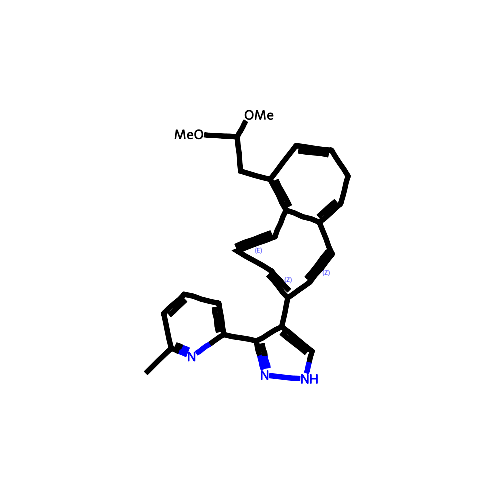 COC(CC1=C2/C=C/C=C(c3c[nH]nc3-c3cccc(C)n3)/C=C\C2=CCC=C1)OC